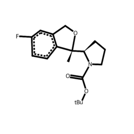 CC(C)(C)OC(=O)N1CCC[C@@H]1[C@@]1(C)OCc2cc(F)ccc21